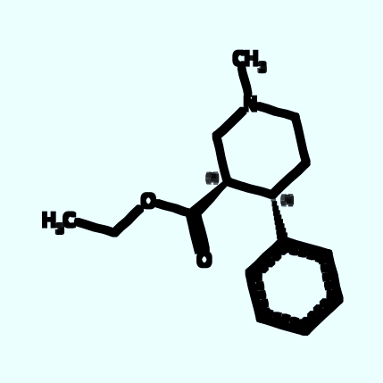 CCOC(=O)[C@H]1CN(C)CC[C@@H]1c1ccccc1